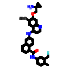 COc1cc2c(Nc3ccc4c(C(=O)Nc5ccc(C)c(CF)c5)cccc4c3)ccnc2cc1OCC1(N)CC1